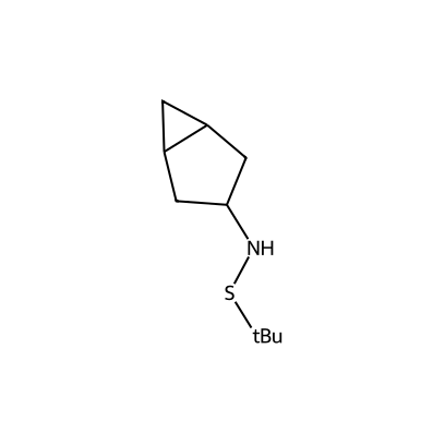 CC(C)(C)SNC1CC2CC2C1